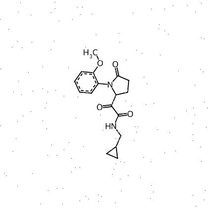 COc1ccccc1N1C(=O)CCC1C(=O)C(=O)NCC1CC1